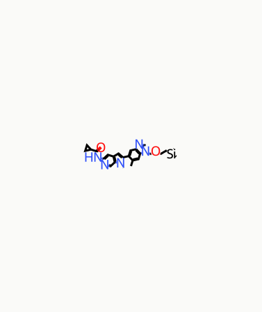 Cc1cc2c(cc1-c1cc3cc(NC(=O)C4CC4)ncc3n1C)ncn2COCC[Si](C)(C)C